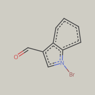 O=Cc1cn(Br)c2ccccc12